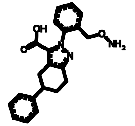 NOCc1ccccc1-n1nc2c(c1C(=O)O)CC(c1ccccc1)CC2